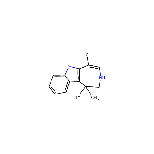 CC1=CNCC(C)(C)c2c1[nH]c1ccccc21